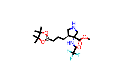 COC(=O)[C@]1(NC(=O)C(F)(F)F)CNC[C@@H]1CCCB1OC(C)(C)C(C)(C)O1